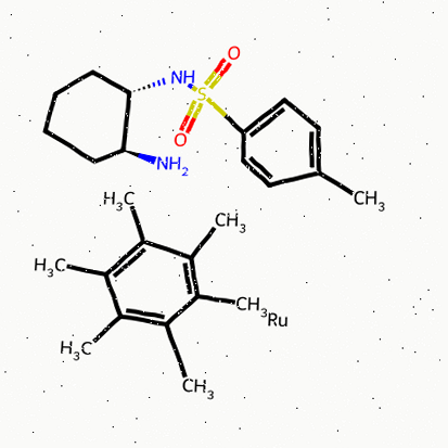 Cc1c(C)c(C)c(C)c(C)c1C.Cc1ccc(S(=O)(=O)N[C@H]2CCCC[C@@H]2N)cc1.[Ru]